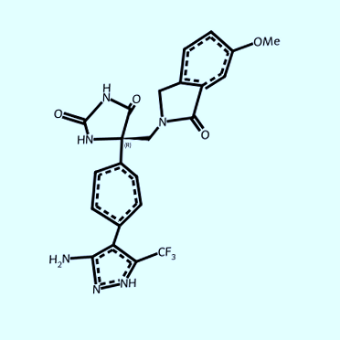 COc1ccc2c(c1)C(=O)N(C[C@@]1(c3ccc(-c4c(N)n[nH]c4C(F)(F)F)cc3)NC(=O)NC1=O)C2